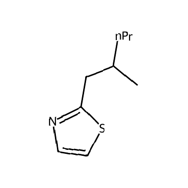 CCCC(C)Cc1nccs1